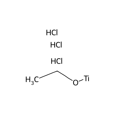 CC[O][Ti].Cl.Cl.Cl